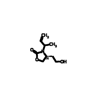 C=CC(C)N1C(=O)OC[C@H]1CCO